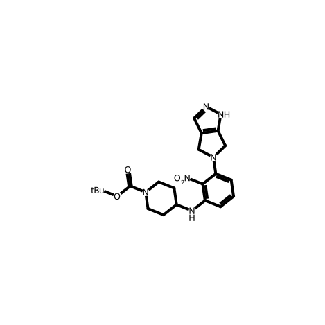 CC(C)(C)OC(=O)N1CCC(Nc2cccc(N3Cc4cn[nH]c4C3)c2[N+](=O)[O-])CC1